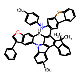 CC(C)(C)c1ccc(Nc2cc3sc4ccccc4c3cc2-c2c3c(c4c5cc(C(C)(C)C)ccc5n5c4c2Bc2cc4occ(-c6ccccc6)c4cc2-5)-c2ccccc2C3(C)C)cc1